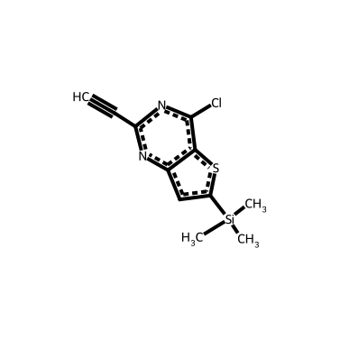 C#Cc1nc(Cl)c2sc([Si](C)(C)C)cc2n1